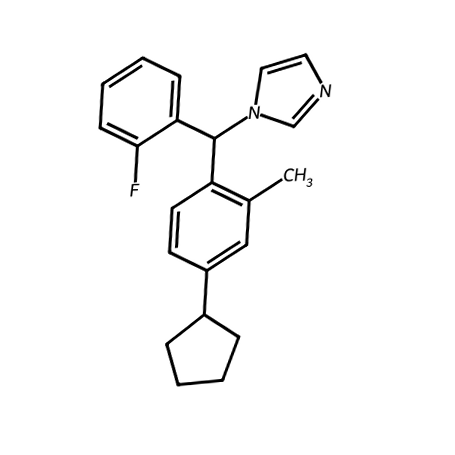 Cc1cc(C2CCCC2)ccc1C(c1ccccc1F)n1ccnc1